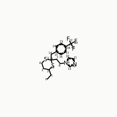 CCC1CCSC(CCn2ccnc2)(Cc2ccc(C(F)(F)F)cc2)S1